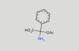 CC(=O)OC(N)(C(=O)O)c1ccccc1